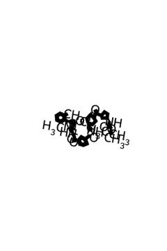 Cc1cccc(C)c1-c1cc2nc(n1)NS(=O)(=O)c1cccc(c1)C(=O)NCC1(CCN(C(=O)C3CC[C@@H](NC(=O)OC(C)(C)C)C3)CC1)CO2